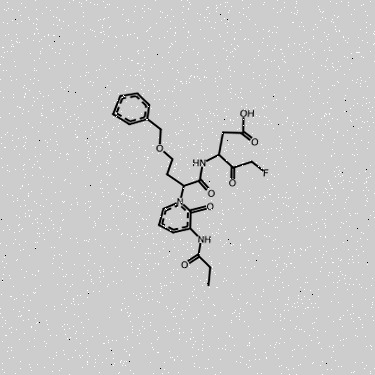 CCC(=O)Nc1cccn(C(CCOCc2ccccc2)C(=O)NC(CC(=O)O)C(=O)CF)c1=O